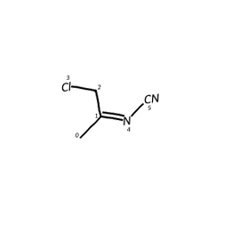 CC(CCl)=NC#N